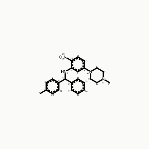 Cc1ccc(C(Nc2cc(N3CCN(C)CC3)ccc2[N+](=O)[O-])c2ccccc2)cc1